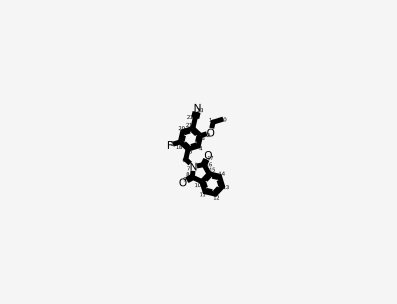 CCOc1cc(CN2C(=O)c3ccccc3C2=O)c(F)cc1C#N